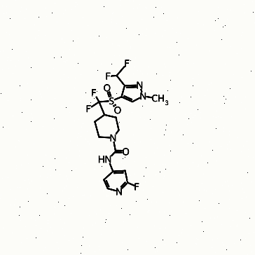 Cn1cc(S(=O)(=O)C(F)(F)C2CCN(C(=O)Nc3ccnc(F)c3)CC2)c(C(F)F)n1